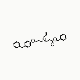 C=CCN(CCCOc1ccc(Cc2ccccc2)cc1)CCC(=O)OCc1ccccc1